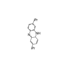 CC(C)C1=CC2=Nc3ccc(C(C)C)cc3NC2C=C1